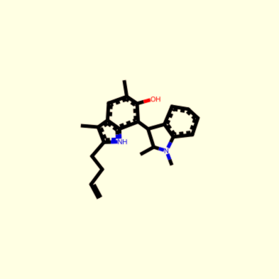 C=CCCc1[nH]c2c(C3c4ccccc4N(C)C3C)c(O)c(C)cc2c1C